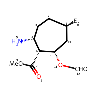 CC[C@@H]1CC[C@@H](N)[C@@H](C(=O)OC)[C@@H](OC=O)C1